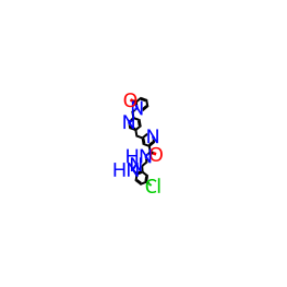 O=C(NCc1n[nH]c2ccc(Cl)cc12)c1cncc(Cc2ccc(Cn3ccccc3=O)nc2)c1